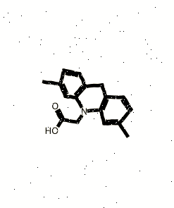 Cc1ccc2c(c1)N(CC(=O)O)c1cc(C)ccc1C2